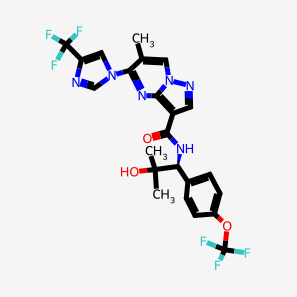 Cc1cn2ncc(C(=O)N[C@@H](c3ccc(OC(F)(F)F)cc3)C(C)(C)O)c2nc1-n1cnc(C(F)(F)F)c1